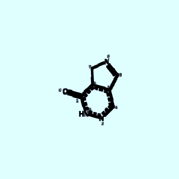 O=c1[nH]ncc2c1CN=C2